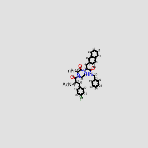 CCCC1C(=O)N(C(Cc2ccc3ccccc3c2)C(=O)NCc2ccccc2)CCN1C(=O)C(Cc1ccc(F)cc1)NC(C)=O